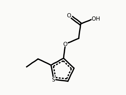 CCc1sccc1OCC(=O)O